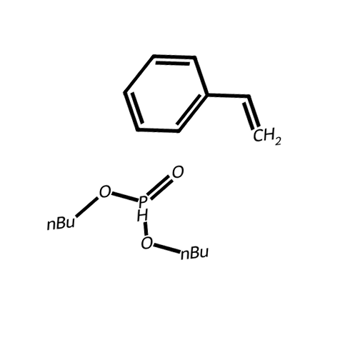 C=Cc1ccccc1.CCCCO[PH](=O)OCCCC